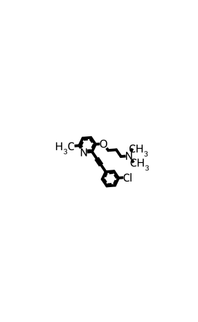 Cc1ccc(OCCCN(C)C)c(C#Cc2cccc(Cl)c2)n1